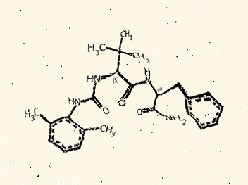 Cc1cccc(C)c1NC(=O)N[C@H](C(=O)N[C@@H](Cc1ccccc1)C(N)=O)C(C)(C)C